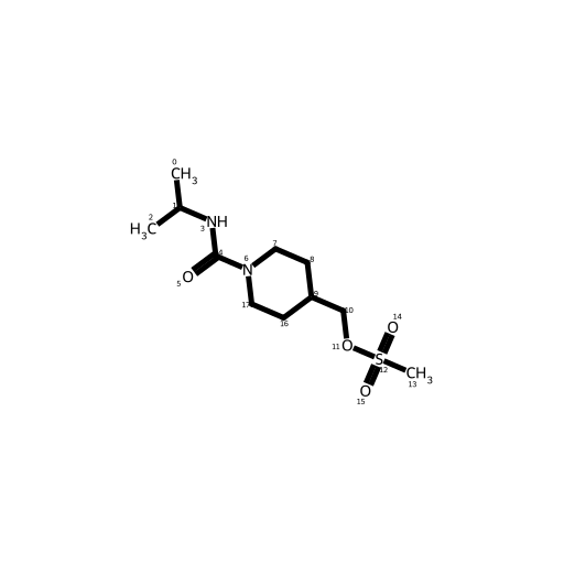 CC(C)NC(=O)N1CCC(COS(C)(=O)=O)CC1